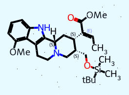 C/C=C(/C(=O)OC)[C@H]1C[C@H]2c3[nH]c4cccc(OC)c4c3CCN2C[C@H]1CO[Si](C)(C)C(C)(C)C